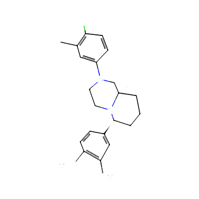 COc1ccc([C@@H]2CCC[C@@H]3CN(c4ccc(Cl)c(C)c4)CCN32)cc1OC